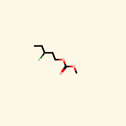 CCC(F)CCOC(=O)OC